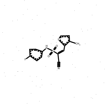 Cc1ccsc1/C=C(/C#N)S(=O)(=O)Nc1ccc(F)cc1